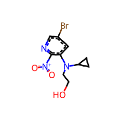 O=[N+]([O-])c1ncc(Br)cc1N(CCO)C1CC1